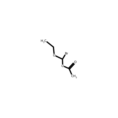 CCOC(Br)OC(C)=O